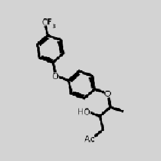 CC(=O)CC(O)C(C)Oc1ccc(Oc2ccc(C(F)(F)F)cc2)cc1